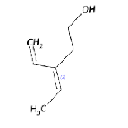 C=C/C(=C\C)CCO